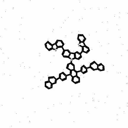 c1ccc2cc(-c3ccc(-c4c5ccccc5c(-c5ccc(-c6ccc7ccccc7c6)cc5)c5cc(-n6c7ccc(-c8cccc9c8sc8ccccc89)cc7c7cc(-c8cccc9c8sc8ccccc89)ccc76)ccc45)cc3)ccc2c1